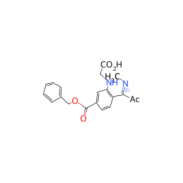 C/N=C(/C(C)=O)c1ccc(C(=O)OCc2ccccc2)cc1NCC(=O)O